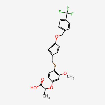 COc1cc(OC(C)C(=O)O)ccc1SCc1ccc(OCc2ccc(C(F)(F)F)cc2)cc1